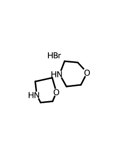 Br.C1COCCN1.C1COCCN1